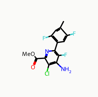 COC(=O)c1nc(-c2cc(F)c(C)cc2F)c(F)c(N)c1Cl